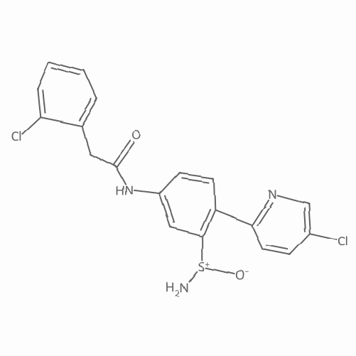 N[S+]([O-])c1cc(NC(=O)Cc2ccccc2Cl)ccc1-c1ccc(Cl)cn1